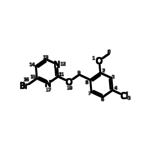 COc1cc(Cl)ccc1COc1nccc(Br)n1